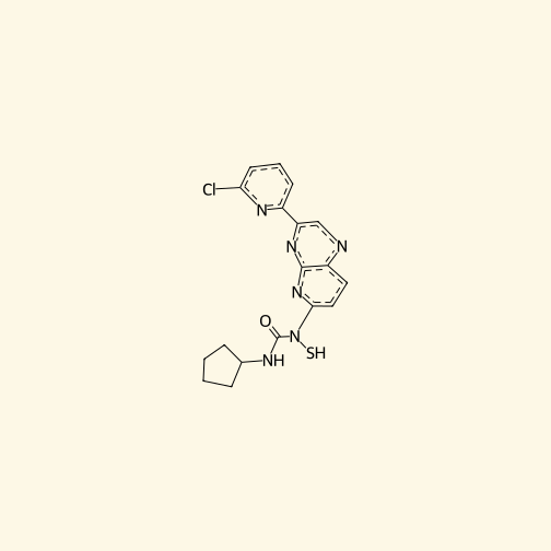 O=C(NC1CCCC1)N(S)c1ccc2ncc(-c3cccc(Cl)n3)nc2n1